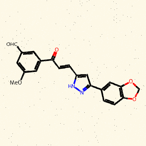 COc1cc(C=O)cc(C(=O)/C=C/c2cc(-c3ccc4c(c3)OCO4)n[nH]2)c1